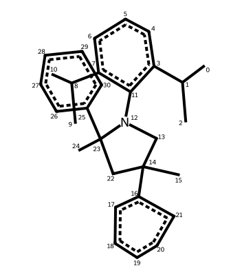 CC(C)c1cccc(C(C)C)c1N1CC(C)(c2ccccc2)CC1(C)c1ccccc1